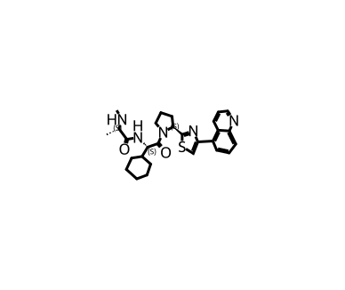 CN[C@@H](C)C(=O)N[C@H](C(=O)N1CCC[C@H]1c1nc(-c2cccc3ncccc23)cs1)C1CCCCC1